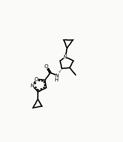 CC1CN(C2CC2)C[C@H]1NC(=O)c1cc(C2CC2)no1